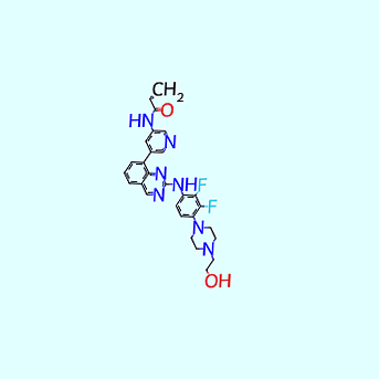 C=CC(=O)Nc1cncc(-c2cccc3cnc(Nc4ccc(N5CCN(CCO)CC5)c(F)c4F)nc23)c1